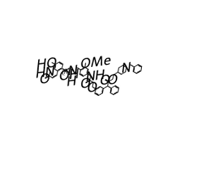 COc1cc(NC(=O)COc2cccc(C(C(=O)OCC3CCN(Cc4ccccc4)CC3)c3ccccc3)c2)ccc1CNC[C@H](O)c1ccc(O)c2[nH]c(=O)ccc12